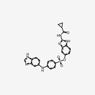 O=C(Nc1nc2cc(OS(=O)(=O)c3ccc(Nc4ccc5[nH]cnc5c4)cc3)ccc2[nH]1)C1CC1